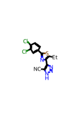 CCc1sc(-c2ccc(Cl)c(Cl)c2)nc1-c1nn[nH]c1C#N